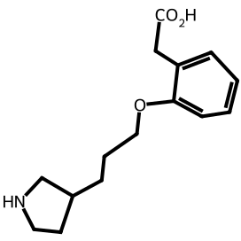 O=C(O)Cc1ccccc1OCCCC1CCNC1